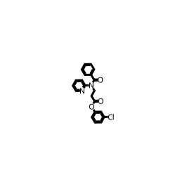 O=C(CCN(C(=O)C1=CC=C=C=C1)c1ccccn1)Oc1cccc(Cl)c1